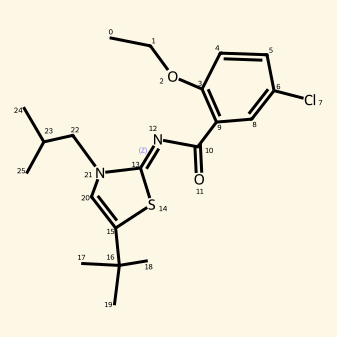 CCOc1ccc(Cl)cc1C(=O)/N=c1\sc(C(C)(C)C)cn1CC(C)C